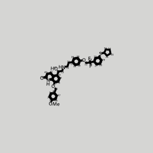 COc1ccc(COc2ccc([C@H](O)CNCCc3ccc(OCC(F)(F)c4cccc(SC5CCCC5)c4)cc3)c3ccc(=O)[nH]c23)cc1